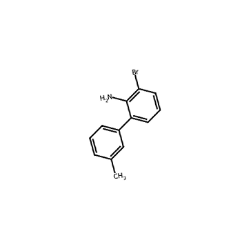 Cc1cccc(-c2cccc(Br)c2N)c1